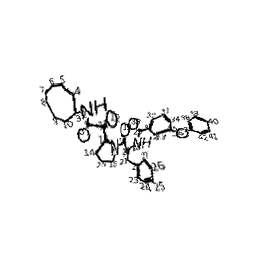 O=C(NC1CCCCCCC1)C(=O)C1CCCN1C(=O)[C@H](Cc1ccccc1)NC(=O)c1cccc(Oc2ccccc2)c1